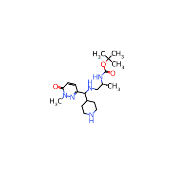 C[C@@H](CNC(c1ccc(=O)n(C)n1)C1CCNCC1)NC(=O)OC(C)(C)C